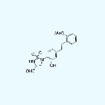 COc1ccccc1CCc1ccc(N2CC(C=O)NS2(=O)=O)c(O)c1